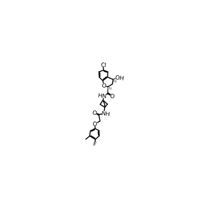 Cc1cc(OCC(=O)NC23CC(NC(=O)[C@@H]4C[C@H](O)c5cc(Cl)ccc5O4)(C2)C3)ccc1F